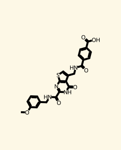 COc1cccc(CNC(=O)c2nc3scc(CNC(=O)c4ccc(C(=O)O)cc4)c3c(=O)[nH]2)c1